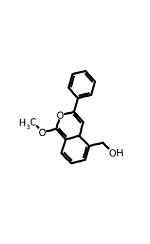 COC1=C2C=CC=C(CO)C2C=C(c2ccccc2)O1